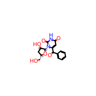 O=C(c1ccccc1)c1cc(=O)[nH]c(=O)n1[C@@H]1O[C@H](CO)C[C@H]1O